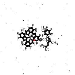 CCCCCCCCC[NH+](CC(C)CCC(CC)CCC)c1c(F)c(C)c(F)c(F)c1F.FC1=C(F)[CH]([Al-]([CH]2C(F)=C(F)c3c2cc(F)c(F)c3F)([CH]2C(F)=C(F)c3c2cc(F)c(F)c3F)[CH]2C(F)=C(F)c3c2cc(F)c(F)c3F)c2cc(F)c(F)c(F)c21